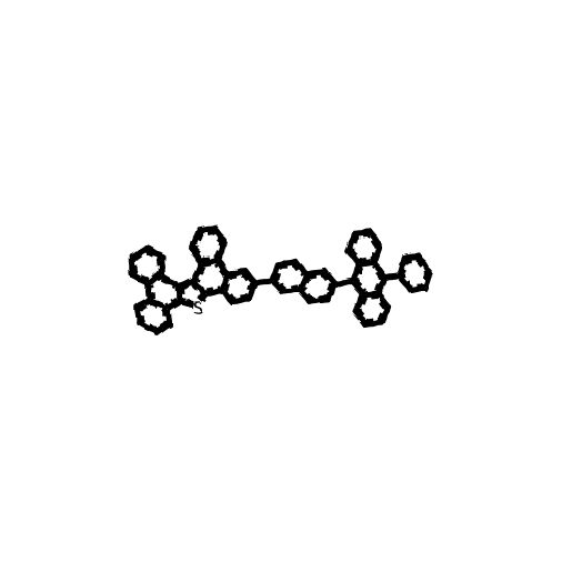 c1ccc(-c2c3ccccc3c(-c3ccc4cc(-c5ccc6c(c5)c5ccccc5c5c6sc6c7ccccc7c7ccccc7c65)ccc4c3)c3ccccc23)cc1